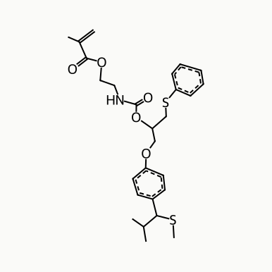 C=C(C)C(=O)OCCNC(=O)OC(COc1ccc(C(SC)C(C)C)cc1)CSc1ccccc1